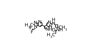 CCC(=O)N[C@]1(C)C[C@@H](Nc2ncc3c(-c4cnc5nc(C)n(CC(F)F)c5c4)c[nH]c3n2)C1